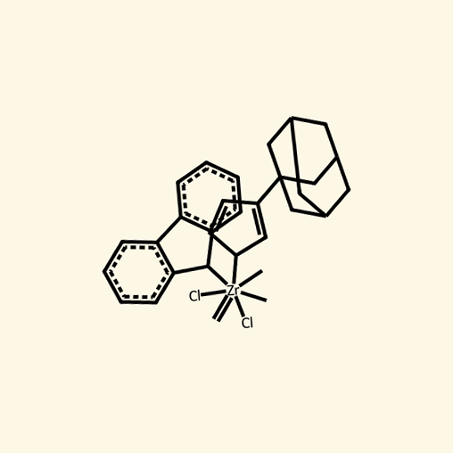 [CH2]=[Zr]([CH3])([CH3])([Cl])([Cl])([CH]1C=CC(C23CC4CC(CC(C4)C2)C3)=C1)[CH]1c2ccccc2-c2ccccc21